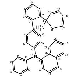 NC1(c2ccccc2-c2ccc(N(c3ccccc3)c3cccc4ccccc34)cc2)C=CC=CC1